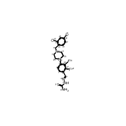 NC(=S)NN=Cc1ccc(N2CCN(Cc3ccc(Cl)cc3Cl)CC2)c(F)c1F